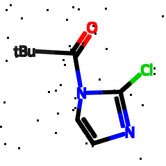 CC(C)(C)C(=O)n1ccnc1Cl